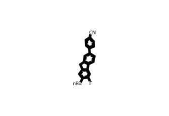 CCCCc1cc2c(cc1F)-c1ccc(-c3ccc(C#N)cc3)cc1C2